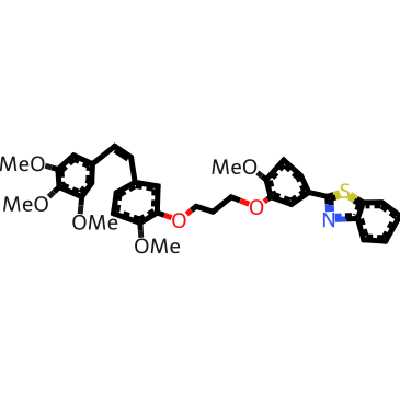 COc1ccc(/C=C\c2cc(OC)c(OC)c(OC)c2)cc1OCCCOc1cc(-c2nc3ccccc3s2)ccc1OC